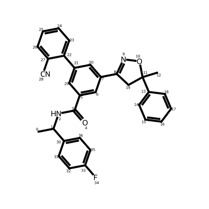 CC(NC(=O)c1cc(C2=NOC(C)(c3ccccc3)C2)cc(-c2ccccc2C#N)c1)c1ccc(F)cc1